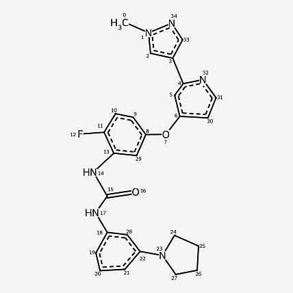 Cn1cc(-c2cc(Oc3ccc(F)c(NC(=O)Nc4cccc(N5CCCC5)c4)c3)ccn2)cn1